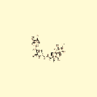 C=C(CCCCCC(F)(F)C(C)CC1(F)CC(C)C1(C)C)NCCOC(=C)C(=C)C